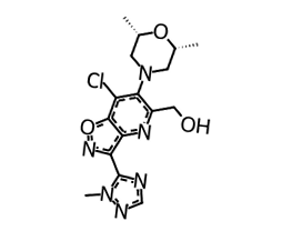 C[C@@H]1CN(c2c(CO)nc3c(-c4ncnn4C)noc3c2Cl)C[C@H](C)O1